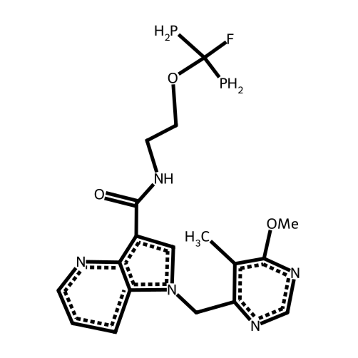 COc1ncnc(Cn2cc(C(=O)NCCOC(F)(P)P)c3ncccc32)c1C